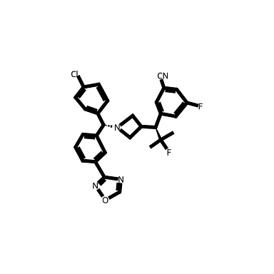 CC(C)(F)[C@H](c1cc(F)cc(C#N)c1)C1CN([C@@H](c2ccc(Cl)cc2)c2cccc(-c3ncon3)c2)C1